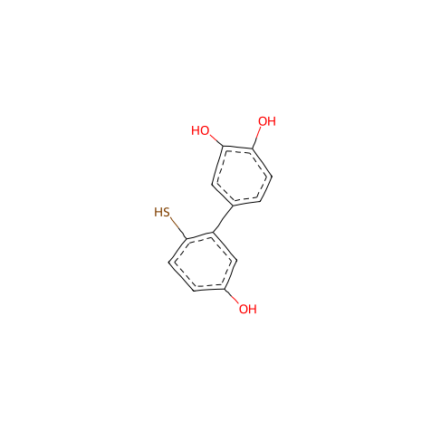 Oc1ccc(S)c(-c2ccc(O)c(O)c2)c1